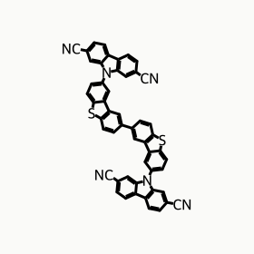 N#Cc1ccc2c3ccc(C#N)cc3n(-c3ccc4sc5ccc(-c6ccc7sc8ccc(-n9c%10cc(C#N)ccc%10c%10ccc(C#N)cc%109)cc8c7c6)cc5c4c3)c2c1